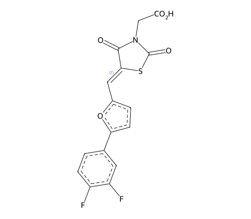 O=C(O)CN1C(=O)S/C(=C\c2ccc(-c3ccc(F)c(F)c3)o2)C1=O